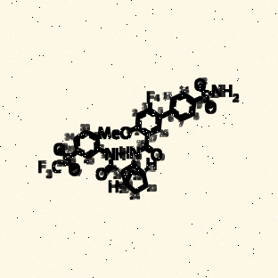 COc1cc(F)c(-c2ccc(S(N)(=O)=O)cc2)cc1C(=O)N[C@@H]1[C@H]2CC[C@H](C2)[C@@H]1C(=O)Nc1cccc(S(=O)(=O)C(F)(F)F)c1